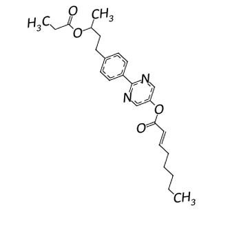 CCCCCC=CC(=O)Oc1cnc(-c2ccc(CCC(C)OC(=O)CC)cc2)nc1